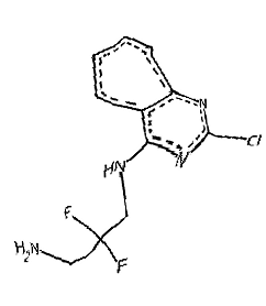 NCC(F)(F)CNc1nc(Cl)nc2ccccc12